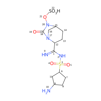 N=C(NS(=O)(=O)C1CCC(N)C1)C1CCC2CN1C(=O)N2OS(=O)(=O)O